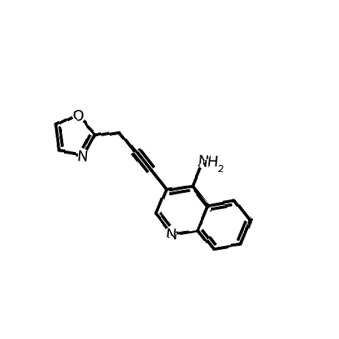 Nc1c(C#CCc2ncco2)cnc2ccccc12